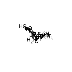 CC(C)(O)c1cc(F)c(-c2cc(C(N)=O)c(Nc3cccc(COCC(=O)N4CCC(O)C4)n3)s2)c(F)c1